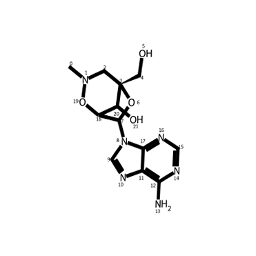 CN1C[C@]2(CO)OC(n3cnc4c(N)ncnc43)C(O1)C2O